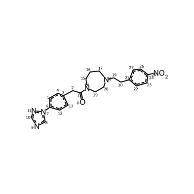 O=C(Cc1ccc(-n2cncn2)cc1)N1CCCN(CCc2ccc([N+](=O)[O-])cc2)CC1